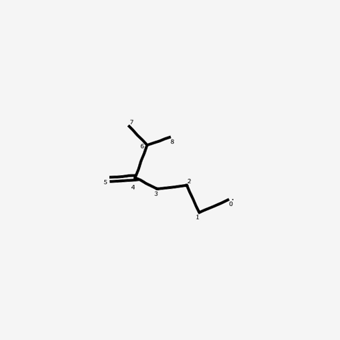 [CH2]CCCC(=C)C(C)C